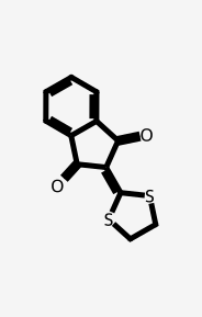 O=C1C(=C2SCCS2)C(=O)c2ccccc21